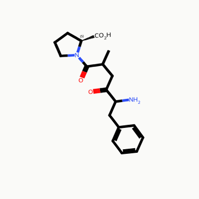 CC(CC(=O)C(N)Cc1ccccc1)C(=O)N1CCC[C@H]1C(=O)O